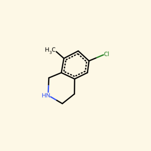 Cc1cc(Cl)cc2c1CNCC2